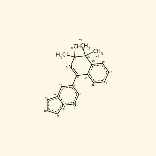 CC1(C)N=C(c2cnn3cccc3c2)c2ccccc2C1(C)C